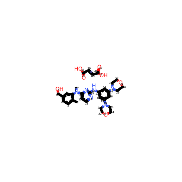 Cc1ccc(CO)cc1N(C)c1ccnc(Nc2cc(N3CCOCC3)cc(N3CCOCC3)c2)n1.O=C(O)/C=C/C(=O)O